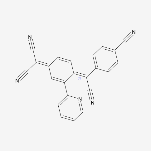 N#CC(C#N)=c1cc/c(=C(/C#N)c2ccc(C#N)cc2)c(-c2ccccn2)c1